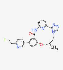 C[C@@H]1CCn2cnnc2-c2cccc(n2)NC(=O)c2cc(-c3ccc(CCF)nc3)ccc2OC1